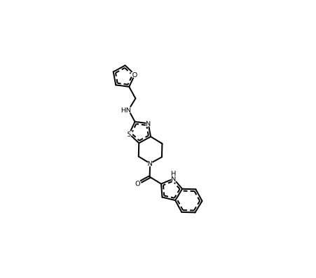 O=C(c1cc2ccccc2[nH]1)N1CCc2nc(NCc3ccco3)sc2C1